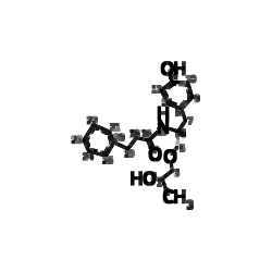 CC(O)COC[C@@H](Cc1ccc(O)cc1)NC(=O)CCc1ccccc1